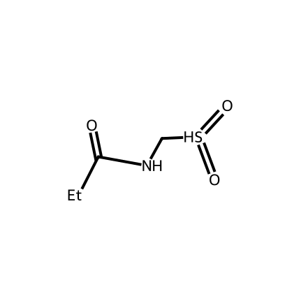 CCC(=O)NC[SH](=O)=O